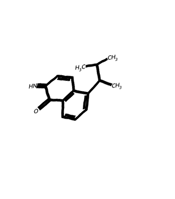 CC(C)C(C)c1cccc2c1C=CC(=N)C2=O